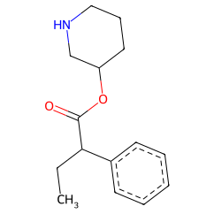 CCC(C(=O)OC1CCCNC1)c1ccccc1